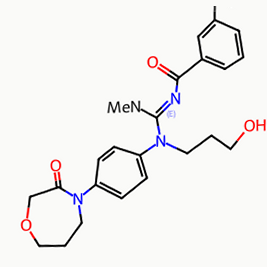 CN/C(=N\C(=O)c1cccc(C(F)(F)F)c1)N(CCCO)c1ccc(N2CCCOCC2=O)cc1